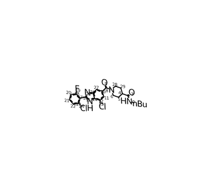 CCCCNC(=O)C1CCN(C(=O)c2cc(Cl)c3[nH]c(-c4c(F)cccc4Cl)nc3c2)CC1